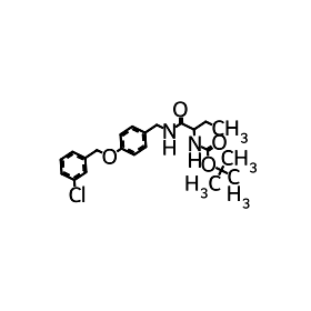 CCC(NC(=O)OC(C)(C)C)C(=O)NCc1ccc(OCc2cccc(Cl)c2)cc1